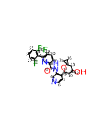 O=C(Nc1cnccc1[C@@H]1C[C@H](O)CC2(CC2)O1)c1ccc(F)c(-c2c(F)cccc2F)n1